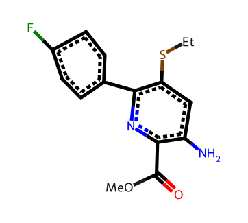 CCSc1cc(N)c(C(=O)OC)nc1-c1ccc(F)cc1